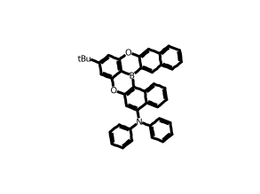 CC(C)(C)c1cc2c3c(c1)Oc1cc(N(c4ccccc4)c4ccccc4)c4ccccc4c1B3c1cc3ccccc3cc1O2